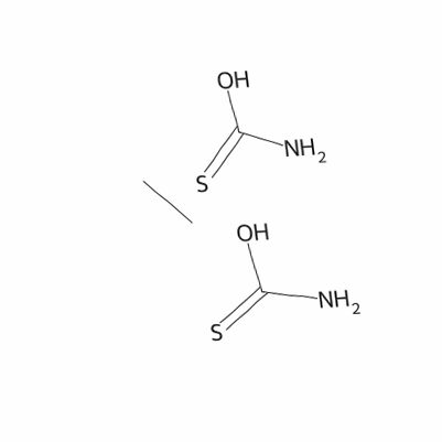 CC.NC(O)=S.NC(O)=S